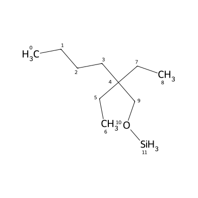 CCCCC(CC)(CC)CO[SiH3]